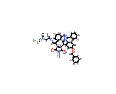 CN(C)CCn1cc(C2=C(c3c[nH]c4ccc(OCc5ccccc5)cc34)C(=O)NC2=O)c2cc(OCc3ccccc3)ccc21